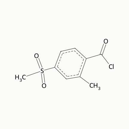 Cc1cc(S(C)(=O)=O)ccc1C(=O)Cl